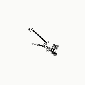 CC#CC#CC#CC#CC#CC#CC(=O)OC[C@H](COP(=O)(O)OC1C(O)[C@@H](OP(=O)(O)O)C(O)[C@@H](OP(=O)(O)O)[C@H]1O)OC(=O)CCCCCCCCCCCCCCC